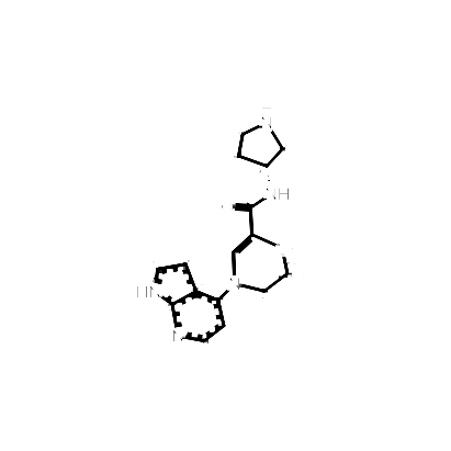 Cl.O=C(N[C@@H]1CCNC1)C1=CN(c2ccnc3[nH]ccc23)CCS1